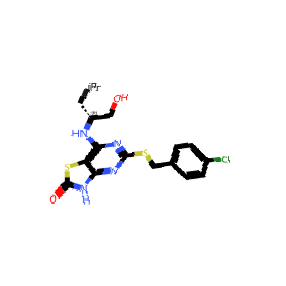 CC(C)C[C@H](CO)Nc1nc(SCc2ccc(Cl)cc2)nc2[nH]c(=O)sc12